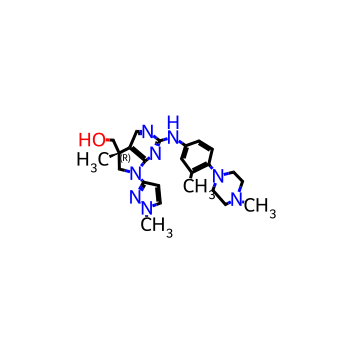 Cc1cc(Nc2ncc3c(n2)N(c2ccn(C)n2)C[C@]3(C)CO)ccc1N1CCN(C)CC1